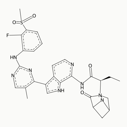 CC[C@H](C(=O)Nc1nccc2c(-c3nc(Nc4cccc(S(C)(=O)=O)c4F)ncc3C)c[nH]c12)N1CC2CC(C1=O)N2C